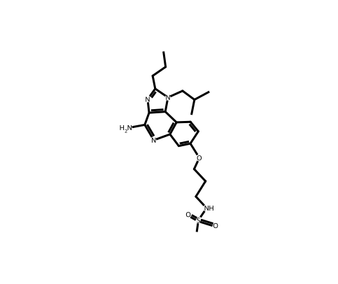 CCCc1nc2c(N)nc3cc(OCCCNS(C)(=O)=O)ccc3c2n1CC(C)C